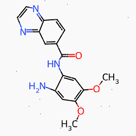 COc1cc(N)c(NC(=O)c2ccc3nccnc3c2)cc1OC